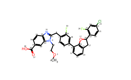 COCCn1c(Cc2ccc(-c3cccc4c3OC(c3ccc(Cl)cc3F)C4)cc2F)nc2ccc(C(=O)O)cc21